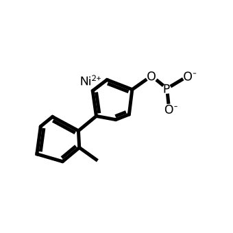 Cc1ccccc1-c1ccc(OP([O-])[O-])cc1.[Ni+2]